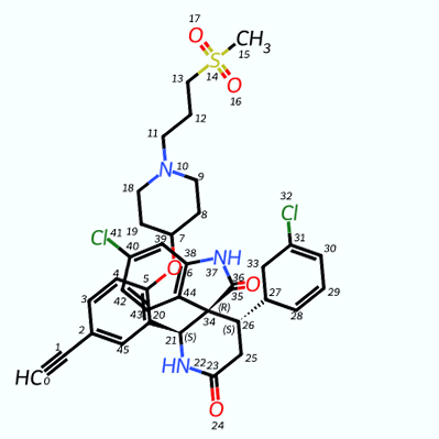 C#Cc1ccc(OC2CCN(CCCS(C)(=O)=O)CC2)c([C@@H]2NC(=O)C[C@@H](C3C=CC=C(Cl)C3)[C@]23C(=O)Nc2cc(Cl)ccc23)c1